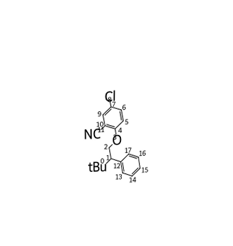 CC(C)(C)C(COc1ccc(Cl)cc1C#N)c1ccccc1